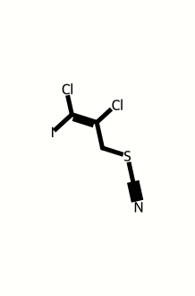 N#CSCC(Cl)=C(Cl)I